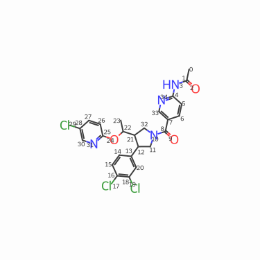 CC(=O)Nc1ccc(C(=O)N2CC(c3ccc(Cl)c(Cl)c3)C(C(C)Oc3ccc(Cl)cn3)C2)cn1